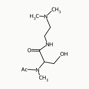 CC(=O)N(C)C(CO)C(=O)NCCN(C)C